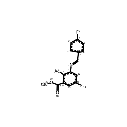 CC(=O)c1c(N=Cc2ccc(F)cc2)cc(F)cc1C(=O)OC(C)(C)C